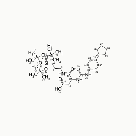 C[Si](C)(C)O[Si](CCCNC(=O)C(CC(=O)O)NC(=O)Nc1ccc(C2CCCC2)cc1)(O[Si](C)(C)C)O[Si](C)(C)C